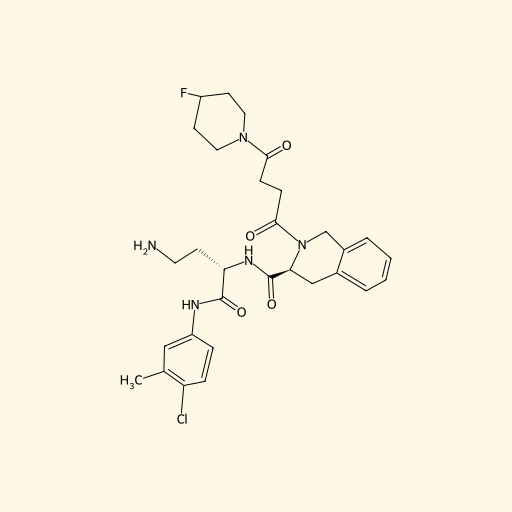 Cc1cc(NC(=O)[C@H](CCN)NC(=O)[C@@H]2Cc3ccccc3CN2C(=O)CCC(=O)N2CCC(F)CC2)ccc1Cl